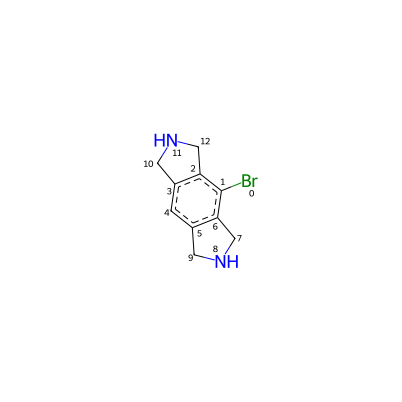 Brc1c2c(cc3c1CNC3)CNC2